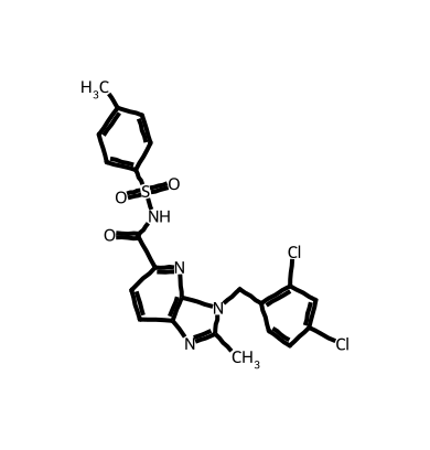 Cc1ccc(S(=O)(=O)NC(=O)c2ccc3nc(C)n(Cc4ccc(Cl)cc4Cl)c3n2)cc1